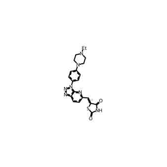 CCN1CCN(c2ccc(-n3nnc4ccc(/C=C5\SC(=O)NC5=O)nc43)cc2)CC1